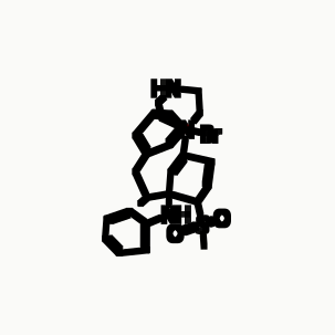 CC(Cc1cccc(Br)c1)C1(Nc2ccccc2)C=C(N2CCNCC2)C=CC1S(C)(=O)=O